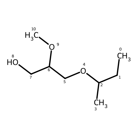 CCC(C)OCC(CO)OC